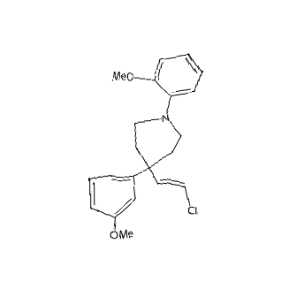 COc1cccc(C2(/C=C/Cl)CCN(c3ccccc3OC)CC2)c1